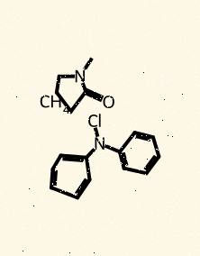 C.CN1CCCC1=O.ClN(c1ccccc1)c1ccccc1